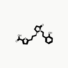 O=C(O)c1ccc(CCC[C@H]2CCC(=O)N2CCc2ccccc2O)s1